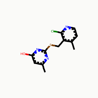 Cc1cc(O)nc(SCc2c(C)ccnc2Cl)n1